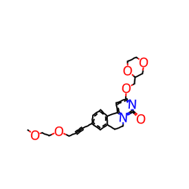 COCCOCC#Cc1ccc2c(c1)CCn1c-2cc(OCC2COCCO2)nc1=O